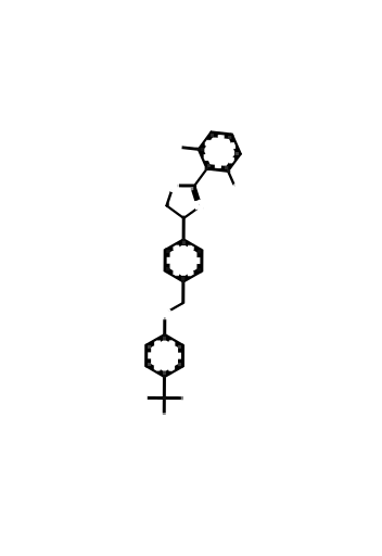 Fc1cccc(F)c1C1=NC(c2ccc(COc3ccc(C(F)(F)F)cc3)cc2)CO1